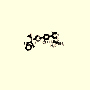 BC(B)(B)Oc1cc(-c2ccc(-c3ncc(N(C4CC4)[C@H]4C[C@@H]5CCC[C@@H](C5)[C@H]4F)nn3)c(O)c2)c(F)cn1